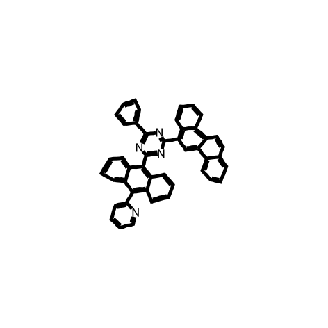 c1ccc(-c2nc(-c3c4ccccc4c(-c4ccccn4)c4ccccc34)nc(-c3cc4c5ccccc5ccc4c4ccccc34)n2)cc1